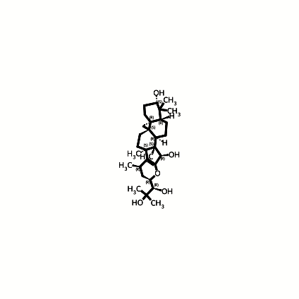 C[C@@H]1C[C@H]([C@@H](O)C(C)(C)O)OC2=C1[C@@]1(C)CC[C@@]34C[C@@]35CC[C@H](O)C(C)(C)[C@@H]5CC[C@H]4[C@]1(C)[C@H]2O